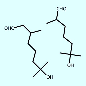 CC(C=O)CCCC(C)(C)O.CC(CC=O)CCCC(C)(C)O